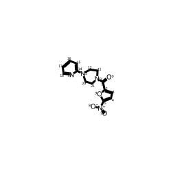 O=C(c1ccc([N+](=O)[O-])o1)N1CCN(c2ccccn2)CC1